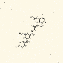 Cc1cc(C)c(O)c([C@@H](CC(=O)O)NC(=O)CNC(=O)c2cc(N)cc(NC3=NCC(F)CN3)c2)c1